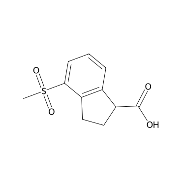 CS(=O)(=O)c1cccc2c1CCC2C(=O)O